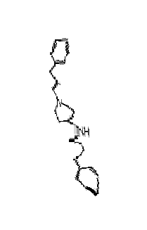 c1ccc(CCCNC2CCN(CCCc3ccccc3)CC2)cc1